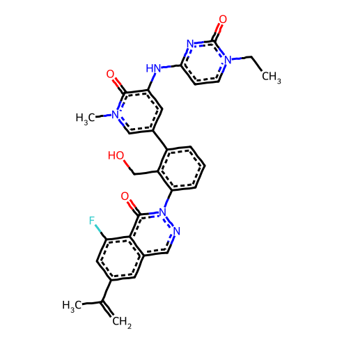 C=C(C)c1cc(F)c2c(=O)n(-c3cccc(-c4cc(Nc5ccn(CC)c(=O)n5)c(=O)n(C)c4)c3CO)ncc2c1